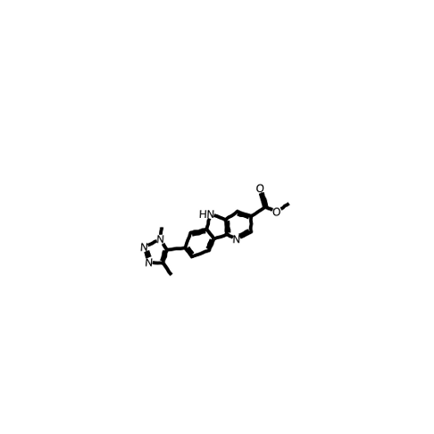 COC(=O)c1cnc2c(c1)[nH]c1cc(-c3c(C)nnn3C)ccc12